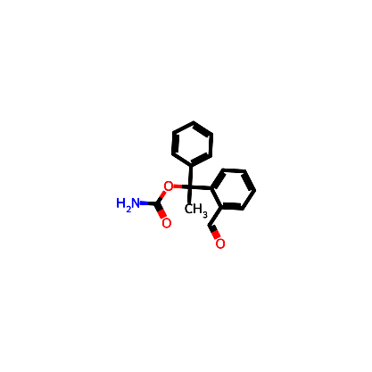 CC(OC(N)=O)(c1ccccc1)c1ccccc1C=O